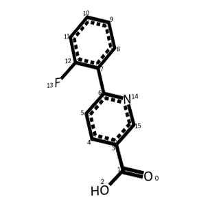 O=C(O)c1ccc(-c2ccccc2F)nc1